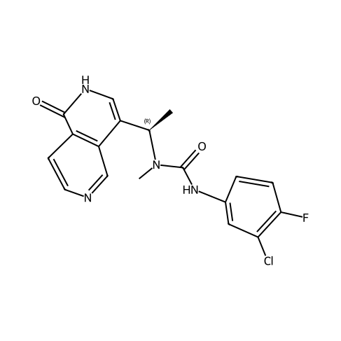 C[C@H](c1c[nH]c(=O)c2ccncc12)N(C)C(=O)Nc1ccc(F)c(Cl)c1